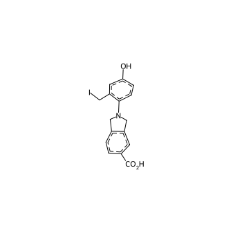 O=C(O)c1ccc2c(c1)CN(c1ccc(O)cc1CI)C2